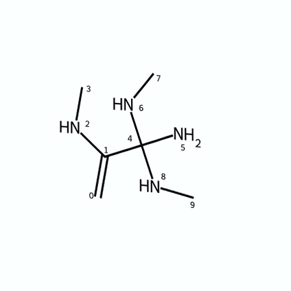 C=C(NC)C(N)(NC)NC